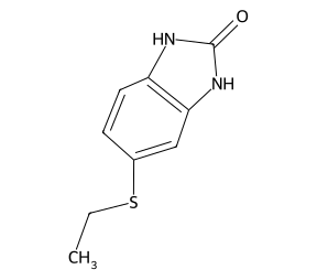 CCSc1ccc2[nH]c(=O)[nH]c2c1